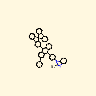 CCc1nc2ccccc2n1-c1ccc(-c2c3ccccc3c(-c3ccc4c(c3)C3(c5ccccc5-c5ccccc53)c3ccccc3-4)c3ccc(-c4ccccc4)cc23)cc1